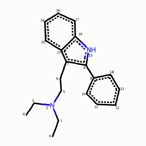 CCN(CC)CCc1c(-c2ccccc2)[nH]c2ccccc12